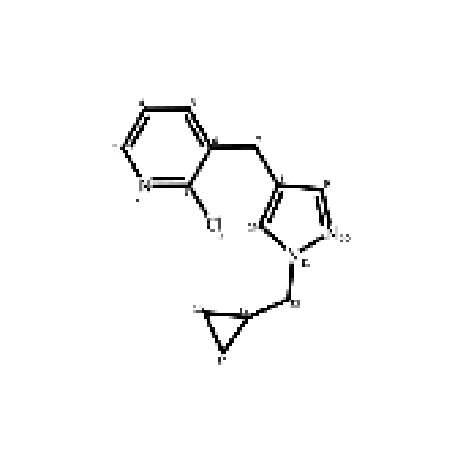 Clc1ncccc1Cc1cnn(CC2CC2)c1